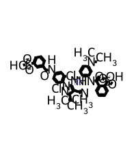 CCN(CC)c1ccc(/N=N/c2c(C#N)c(C(C)(C)C)nn2-c2c(Cl)cc(NC(=O)c3cccc(S(=O)(=O)O)c3)cc2Cl)c(NC(=O)c2ccccc2S(=O)(=O)O)c1